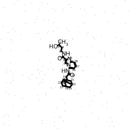 CC(O)CCNC(=O)c1cn2c(NC(=O)CC34CC5CC(CC(C5)C3)C4)cccc2n1